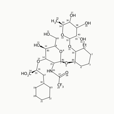 CCC1CCC[C@@H](O[C@@H]2OC(CO)[C@H](O)C(O[C@@H](CC3CCCCC3)C(=O)O)C2NC(=O)C(F)(F)F)C1OC1O[C@@H](C)C(O)C(O)[C@@H]1O